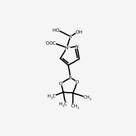 CC1(C)OB(C2=C[N+](B(O)O)(C(=O)[O-])N=C2)OC1(C)C